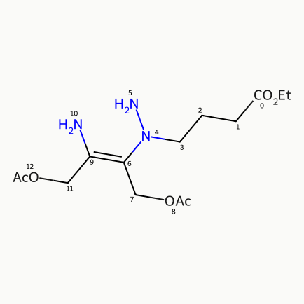 CCOC(=O)CCCN(N)/C(COC(C)=O)=C(\N)COC(C)=O